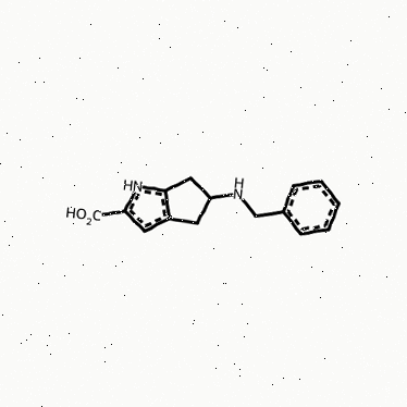 O=C(O)c1cc2c([nH]1)CC(NCc1ccccc1)C2